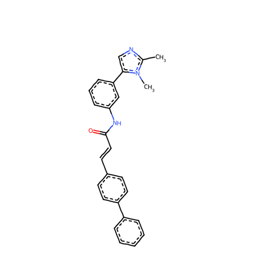 Cc1ncc(-c2cccc(NC(=O)C=Cc3ccc(-c4ccccc4)cc3)c2)n1C